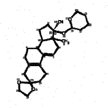 CC12CC=C3C4=C(CCC3C1CC[C@@]2(C#N)OC1CCCCO1)CC1(CC4)OCCO1